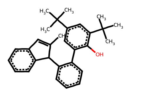 CC1=Cc2ccccc2C1c1ccccc1-c1cc(C(C)(C)C)cc(C(C)(C)C)c1O